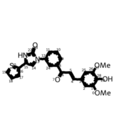 COc1cc(C=CC(=O)c2cccc(-n3cc(-c4cccs4)[nH]c3=O)c2)cc(OC)c1O